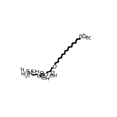 CCCCCCCCCCCCCCCCCCCCCCCCOCC(COP(=O)(O)OCC[N+](C)(C)C)OO